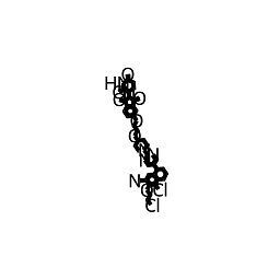 N#Cc1cc2c(c(Cl)c1OCCCl)CCCC2c1cnc(N2CCC(OCCOc3ccc4c(c3)C(=O)N(C3CCC(=O)NC3=O)C4=O)CC2)nc1